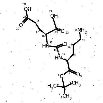 CC(C)(C)OC(=O)[C@H](CCCN)NC(=O)N[C@@H](CCC(=O)O)C(=O)O